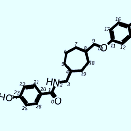 O=C(NCC1CCCC(COc2ccc(Cl)cc2)CC1)c1ccc(O)cc1